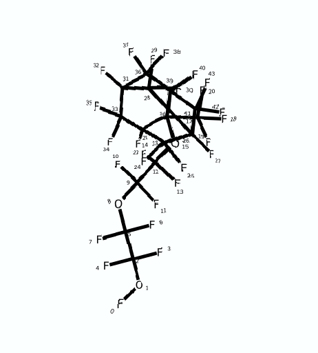 FOC(F)(F)C(F)(F)OC(F)(F)C(F)(F)OC1(C(F)(F)F)C2(F)C(F)(F)C3(F)C(F)(F)C(F)(C2(F)F)C(F)(F)C1(F)C3(F)F